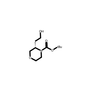 CC(C)(C)OC(=O)N1CCOC[C@@H]1CCO